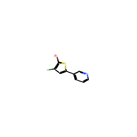 Clc1cc(-c2cccnc2)sc1Br